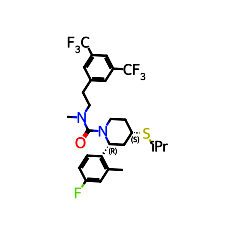 Cc1cc(F)ccc1[C@H]1C[C@@H](SC(C)C)CCN1C(=O)N(C)CCc1cc(C(F)(F)F)cc(C(F)(F)F)c1